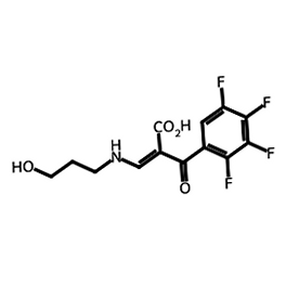 O=C(O)/C(=C\NCCCO)C(=O)c1cc(F)c(F)c(F)c1F